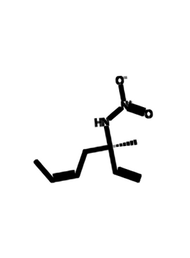 C=C[C@@](C)(C/C=C\C)N[N+](=O)[O-]